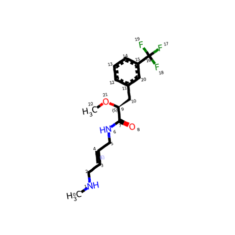 CNC/C=C/CNC(=O)[C@H](Cc1cccc(C(F)(F)F)c1)OC